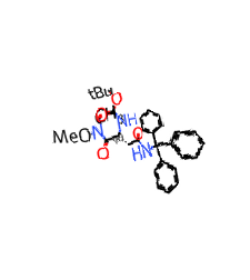 CON(C)C(=O)[C@@H](CC(=O)NC(c1ccccc1)(c1ccccc1)c1ccccc1)NC(=O)OC(C)(C)C